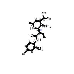 C=C/C(C(=O)Nc1ccc(I)cc1C(F)(F)F)=C1/NC(=C)C=C(C(F)F)N1N